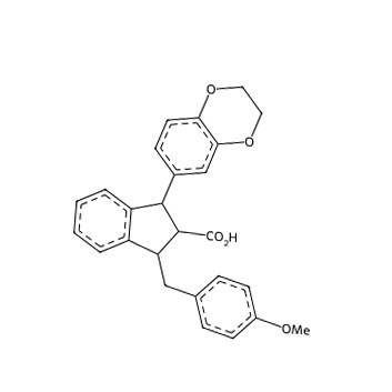 COc1ccc(CC2c3ccccc3C(c3ccc4c(c3)OCCO4)C2C(=O)O)cc1